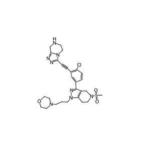 CS(=O)(=O)N1CCc2c(c(-c3ccc(Cl)c(C#Cc4nnc5n4CCNC5)c3)nn2CCCN2CCOCC2)C1